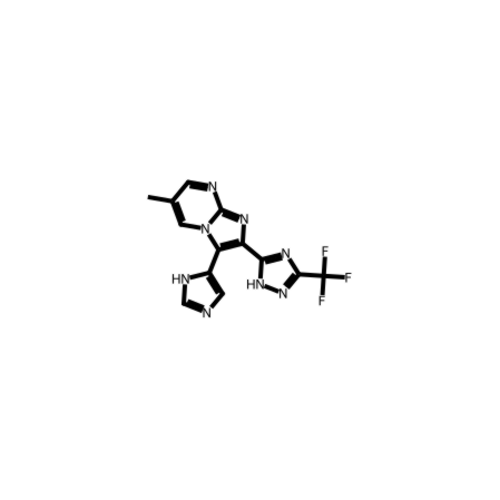 Cc1cnc2nc(-c3nc(C(F)(F)F)n[nH]3)c(-c3cnc[nH]3)n2c1